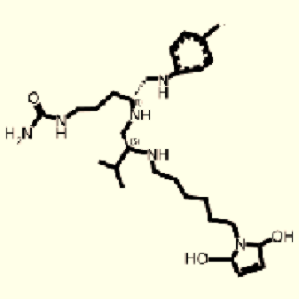 [CH2]c1ccc(NC[C@@H](CCCNC(N)=O)NC[C@@H](NCCCCCCN2C(O)C=CC2O)C(C)C)cc1